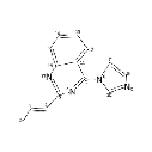 C/C=C/c1nc(-n2ccnc2)c2ccccc2n1